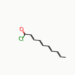 C/C=C/C=C/C=C/C=C/C(=O)Cl